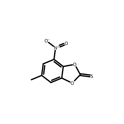 Cc1cc([N+](=O)[O-])c2oc(=S)oc2c1